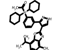 CC(=O)[N+](c1cccc(-c2n[nH]cc2-c2nc3c(C)ccc(C(C)C)c3o2)c1)(C1CCCCC1)C1CCCCC1